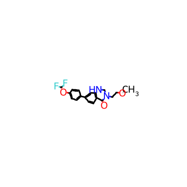 COCCN1CNc2cc(-c3ccc(OC(F)F)cc3)ccc2C1=O